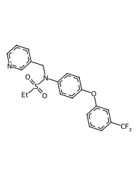 CCS(=O)(=O)N(Cc1cccnc1)c1ccc(Oc2cccc(C(F)(F)F)c2)cc1